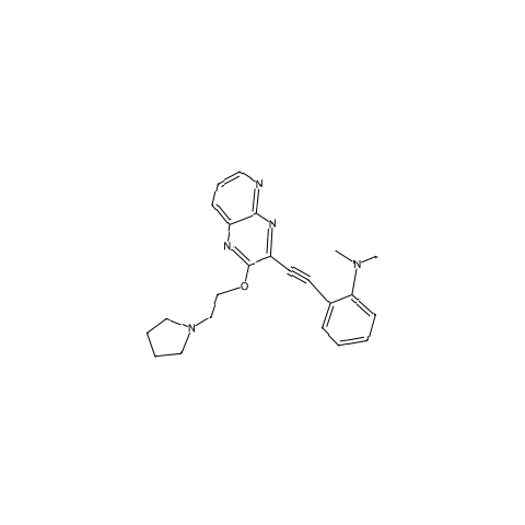 CN(C)c1ccccc1C#Cc1nc2ncccc2nc1OCCN1CCCC1